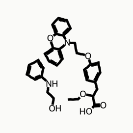 CCOC(Cc1ccc(OCCN2c3ccccc3Oc3ccccc32)cc1)C(=O)O.OCCNc1ccccc1